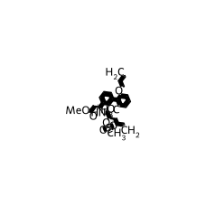 C=CCCOc1cccc(C)c1-c1cccc([C@H](CC(=O)OC)NC(=O)[C@@H](CCC=C)OS(C)(=O)=O)c1